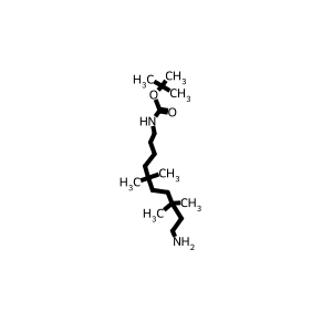 CC(C)(CCN)CCC(C)(C)CCCCNC(=O)OC(C)(C)C